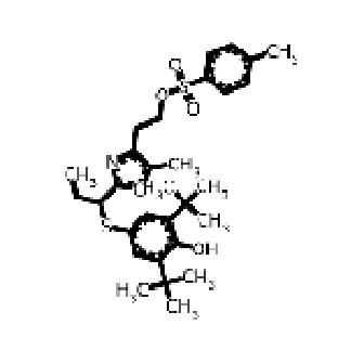 CCC(Sc1cc(C(C)(C)C)c(O)c(C(C)(C)C)c1)c1nc(CCOS(=O)(=O)c2ccc(C)cc2)c(C)o1